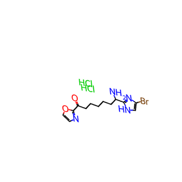 Cl.Cl.NC(CCCCCC(=O)c1ncco1)c1nc(Br)c[nH]1